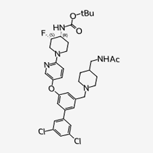 CC(=O)NCC1CCN(Cc2cc(Oc3ccc(N4CC[C@@H](NC(=O)OC(C)(C)C)[C@@H](F)C4)nc3)cc(-c3cc(Cl)cc(Cl)c3)c2)CC1